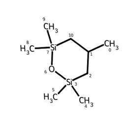 CC1C[Si](C)(C)O[Si](C)(C)C1